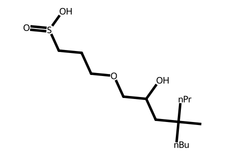 CCCCC(C)(CCC)CC(O)COCCCS(=O)O